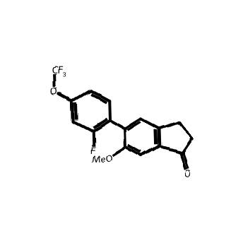 COc1cc2c(cc1-c1ccc(OC(F)(F)F)cc1F)CCC2=O